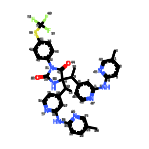 Cc1ccc(Nc2cc(C(C)C3(C(C)c4ccnc(Nc5ccc(C)cn5)c4)NC(=O)N(c4ccc(SC(F)(F)F)cc4)C3=O)ccn2)nc1